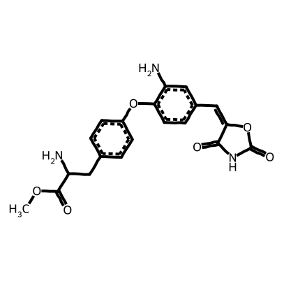 COC(=O)C(N)Cc1ccc(Oc2ccc(C=C3OC(=O)NC3=O)cc2N)cc1